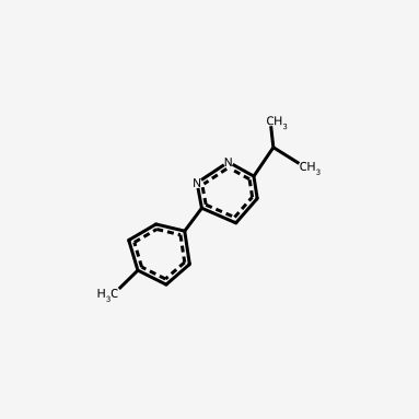 Cc1ccc(-c2ccc(C(C)C)nn2)cc1